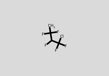 CC(F)(F)C(F)C(F)(F)Cl